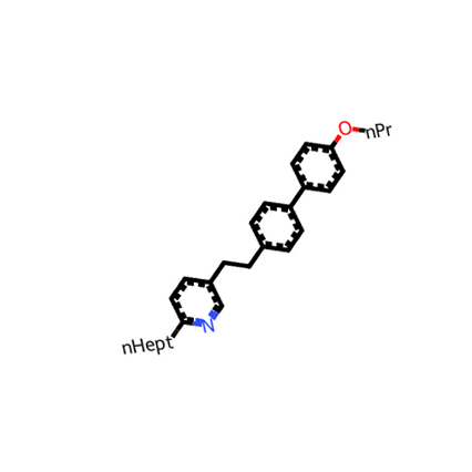 CCCCCCCc1ccc(CCc2ccc(-c3ccc(OCCC)cc3)cc2)cn1